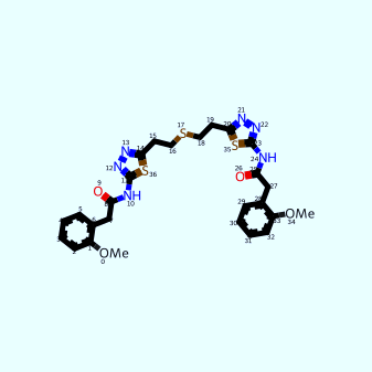 COc1ccccc1CC(=O)Nc1nnc(CCSCCc2nnc(NC(=O)Cc3ccccc3OC)s2)s1